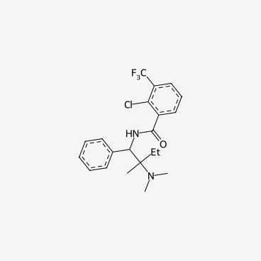 CCC(C)(C(NC(=O)c1cccc(C(F)(F)F)c1Cl)c1ccccc1)N(C)C